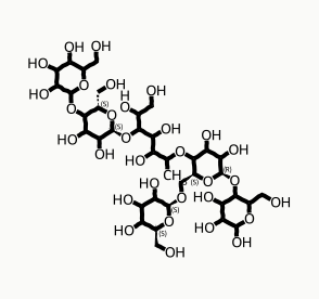 CC(OC1C(O)C(O)[C@@H](OC2C(CO)OC(O)C(O)C2O)O[C@H]1CO[C@H]1O[C@@H](CO)C(O)C(O)C1O)C(O)C(O)C(O[C@@H]1O[C@@H](CO)C(OC2OC(CO)C(O)C(O)C2O)C(O)C1O)C(O)CO